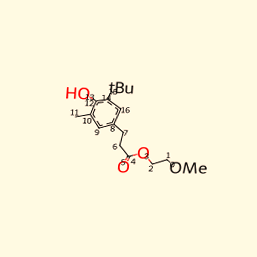 COCCOC(=O)CCc1cc(C)c(O)c(C(C)(C)C)c1